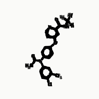 [2H]C([2H])([2H])NC(=O)c1cc(Oc2ccc(N(C(N)=O)c3ccc(Cl)c(C(F)(F)F)c3)cc2)ccn1